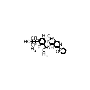 Cc1nc(N[C@H](C)c2cccc(C(F)(F)C(C)(C)O)c2F)c2cc(P3(=O)CCCC3)ncc2n1